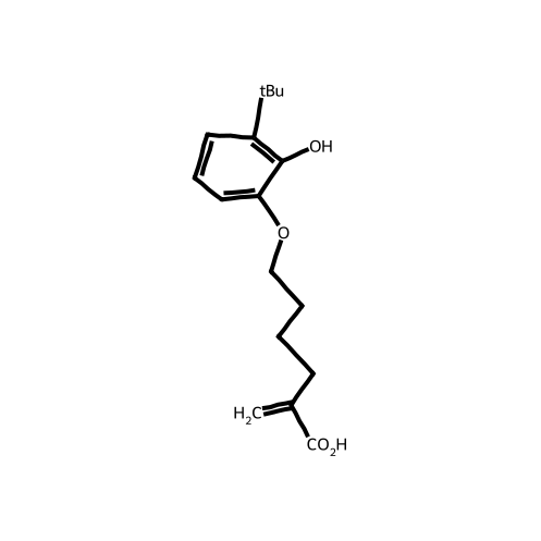 C=C(CCCCOc1cccc(C(C)(C)C)c1O)C(=O)O